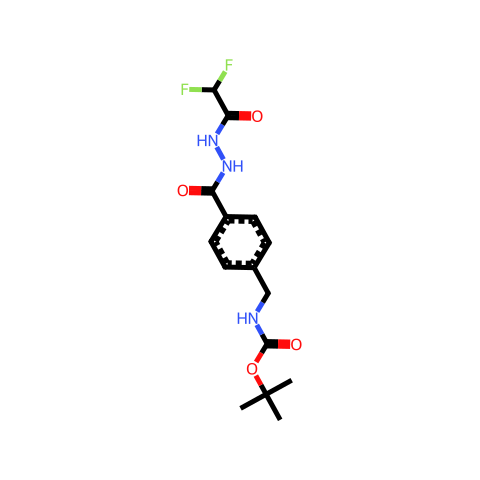 CC(C)(C)OC(=O)NCc1ccc(C(=O)NNC(=O)C(F)F)cc1